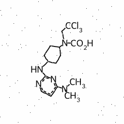 CN(C)c1ccnc(NC2CCC(N(CC(Cl)(Cl)Cl)C(=O)O)CC2)n1